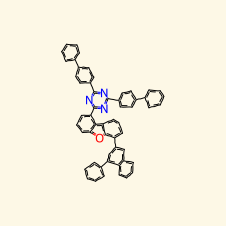 c1ccc(-c2ccc(-c3nc(-c4ccc(-c5ccccc5)cc4)nc(-c4cccc5oc6c(-c7cc(-c8ccccc8)c8ccccc8c7)cccc6c45)n3)cc2)cc1